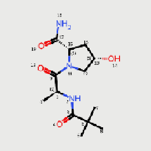 C[C@H](NC(=O)C(C)(C)C)C(=O)N1C[C@@H](O)C[C@H]1C(N)=O